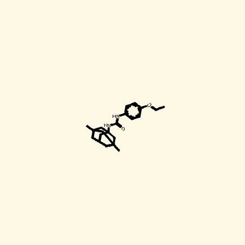 CCOc1ccc(NC(=O)NC23CC4CC(C)(CC(C)(C4)C2)C3)cc1